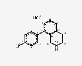 Cl.Clc1ccc(-c2cccc3c2CNCC3)cc1